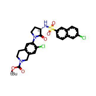 CC(C)(C)OC(=O)N1CCc2cc(N3CC[C@H](NS(=O)(=O)c4ccc5cc(Cl)ccc5c4)C3=O)c(Cl)cc2C1